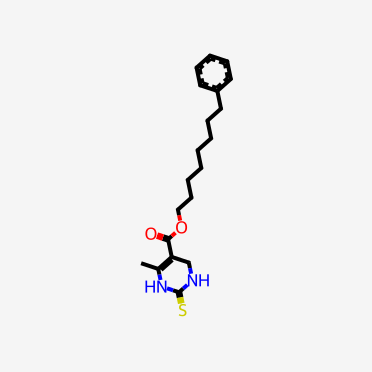 CC1=C(C(=O)OCCCCCCCCc2ccccc2)CNC(=S)N1